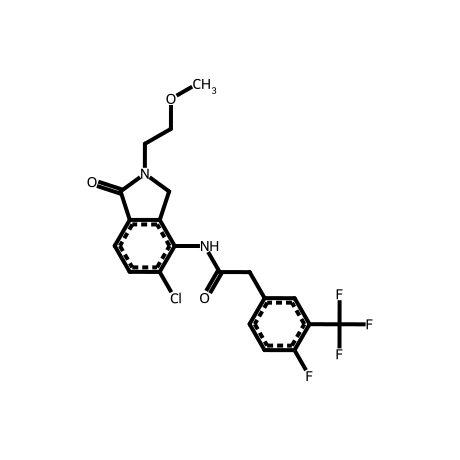 COCCN1Cc2c(ccc(Cl)c2NC(=O)Cc2ccc(F)c(C(F)(F)F)c2)C1=O